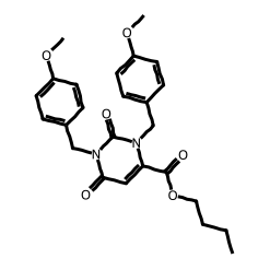 CCCCOC(=O)c1cc(=O)n(Cc2ccc(OC)cc2)c(=O)n1Cc1ccc(OC)cc1